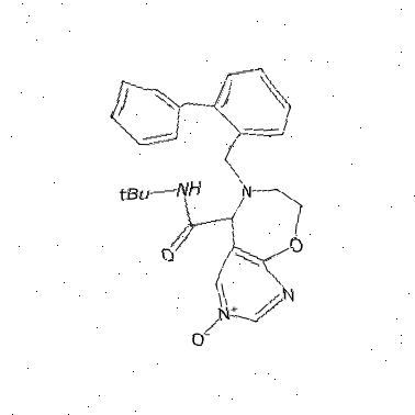 CC(C)(C)NC(=O)C1c2c[n+]([O-])cnc2OCCN1Cc1ccccc1-c1ccccc1